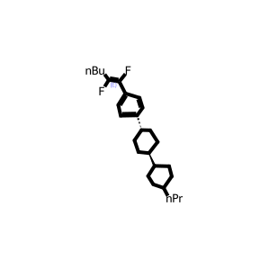 CCCC/C(F)=C(\F)c1ccc([C@H]2CC[C@H](C3CCC(CCC)CC3)CC2)cc1